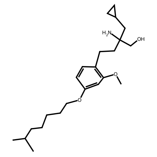 COc1cc(OCCCCCC(C)C)ccc1CCC(N)(CO)CC1CC1